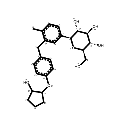 Cc1ccc([C@@H]2O[C@H](CO)[C@@H](O)[C@H](O)[C@H]2O)cc1Cc1ccc(OC2CCCC2O)cc1